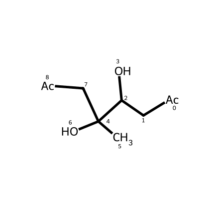 CC(=O)CC(O)C(C)(O)CC(C)=O